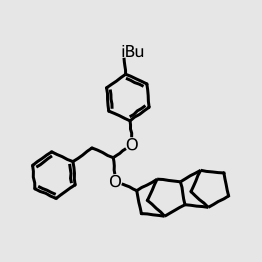 CCC(C)c1ccc(OC(Cc2ccccc2)OC2CC3CC2C2C4CCC(C4)C32)cc1